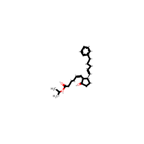 CC(C)OC(=O)CCC/C=C\C1C(=O)CC[C@@H]1/C=C/CCCc1ccccc1